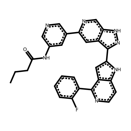 CCCC(=O)Nc1cncc(-c2cc3c(-c4cc5c(-c6ccccc6F)nccc5[nH]4)n[nH]c3cn2)c1